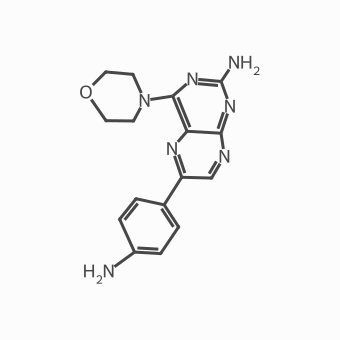 Nc1ccc(-c2cnc3nc(N)nc(N4CCOCC4)c3n2)cc1